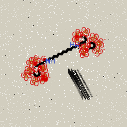 O=C(NCCCCCCCCCCCCNC(=O)[C@H](OS(=O)(=O)[O-])[C@H](OS(=O)(=O)[O-])[C@@H](O[C@@H]1O[C@@H](COS(=O)(=O)[O-])[C@H](OS(=O)(=O)[O-])[C@@H](OS(=O)(=O)[O-])[C@@H]1OS(=O)(=O)[O-])[C@H](COS(=O)(=O)[O-])OS(=O)(=O)[O-])[C@@H](OS(=O)(=O)[O-])[C@H](OS(=O)(=O)[O-])[C@@H](O[C@@H]1O[C@@H](COS(=O)(=O)[O-])[C@H](OS(=O)(=O)[O-])[C@@H](OS(=O)(=O)[O-])[C@@H]1OS(=O)(=O)[O-])[C@H](COS(=O)(=O)[O-])OS(=O)(=O)[O-].[Na+].[Na+].[Na+].[Na+].[Na+].[Na+].[Na+].[Na+].[Na+].[Na+].[Na+].[Na+].[Na+].[Na+].[Na+].[Na+]